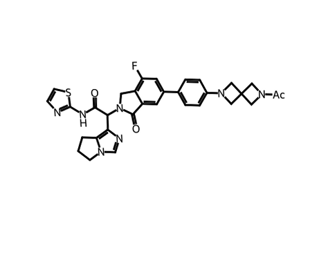 CC(=O)N1CC2(C1)CN(c1ccc(-c3cc(F)c4c(c3)C(=O)N(C(C(=O)Nc3nccs3)c3ncn5c3CCC5)C4)cc1)C2